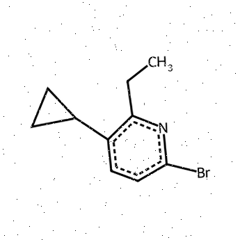 CCc1nc(Br)ccc1C1CC1